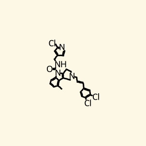 Cc1cccc2c1c1c(n2C(=O)NCc2ccnc(Cl)c2)CCN(C/C=C/c2ccc(Cl)c(Cl)c2)C1